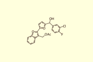 CC(=O)OCc1c(-c2ccc(C(O)c3ccc(F)c(Cl)c3)o2)oc2ccccc12